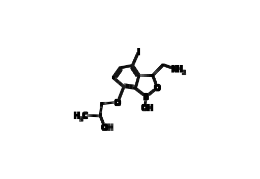 CC(O)COc1ccc(I)c2c1B(O)OC2CN